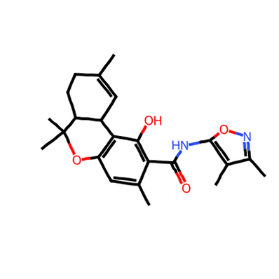 CC1=CC2c3c(cc(C)c(C(=O)Nc4onc(C)c4C)c3O)OC(C)(C)C2CC1